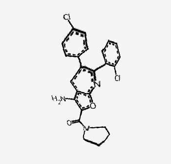 Nc1c(C(=O)N2CCCC2)oc2nc(-c3ccccc3Cl)c(-c3ccc(Cl)cc3)cc12